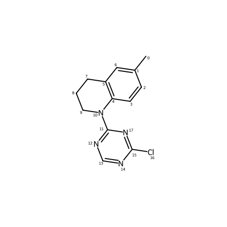 Cc1ccc2c(c1)CCCN2c1ncnc(Cl)n1